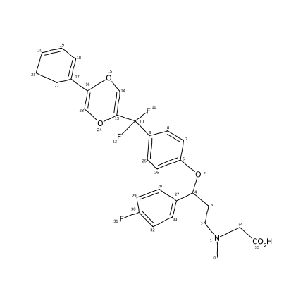 CN(CCC(Oc1ccc(C(F)(F)C2=COC(C3=CC=CCC3)=CO2)cc1)c1ccc(F)cc1)CC(=O)O